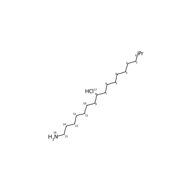 CC(C)CCCCCCCCCCCCCCCN.Cl